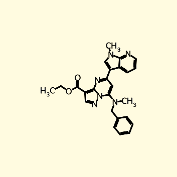 CCOC(=O)c1cnn2c(N(C)Cc3ccccc3)cc(-c3cn(C)c4ncccc34)nc12